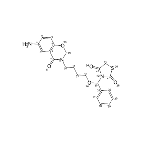 Nc1ccc2c(c1)C(=O)N(CCCCOC(c1ccccc1)N1C(=O)CSC1=O)CO2